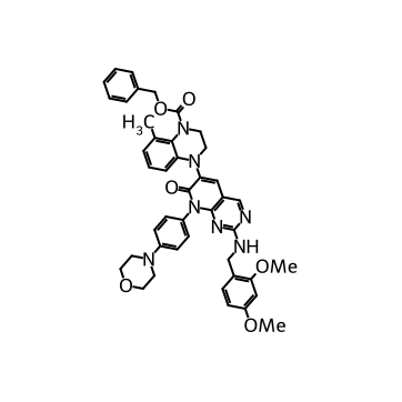 COc1ccc(CNc2ncc3cc(N4CCN(C(=O)OCc5ccccc5)c5c(C)cccc54)c(=O)n(-c4ccc(N5CCOCC5)cc4)c3n2)c(OC)c1